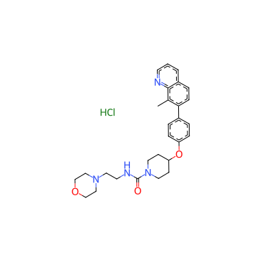 Cc1c(-c2ccc(OC3CCN(C(=O)NCCN4CCOCC4)CC3)cc2)ccc2cccnc12.Cl